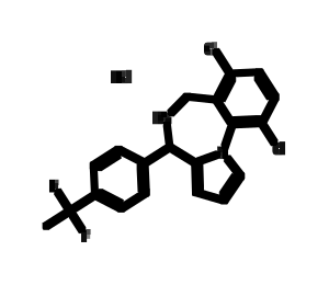 CC(F)(F)c1ccc(C2NCc3c(Cl)ccc(Cl)c3-n3cccc32)cc1.Cl